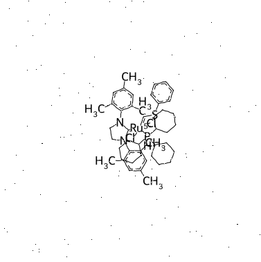 Cc1cc(C)c(N2CCN(c3c(C)cc(C)cc3C)[C]2=[Ru-5]([Cl])([Cl])(=[CH]Sc2ccccc2)[PH](C2CCCCC2)(C2CCCCC2)C2CCCCC2)c(C)c1